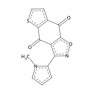 Cn1cccc1-c1noc2c1C(=O)c1sccc1C2=O